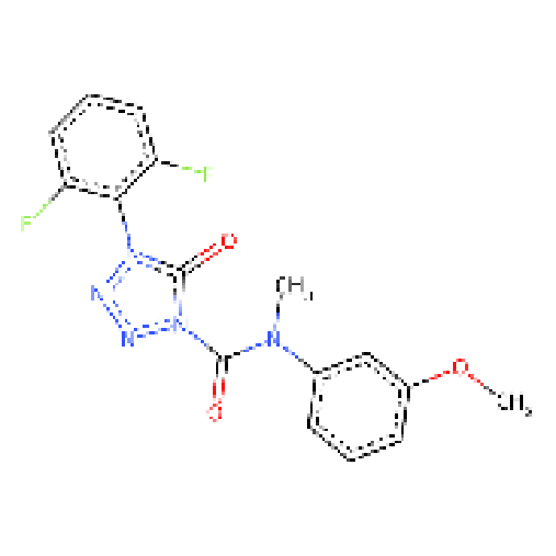 COc1cccc(N(C)C(=O)n2nnn(-c3c(F)cccc3F)c2=O)c1